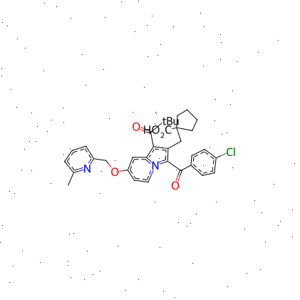 Cc1cccc(COc2ccn3c(C(=O)c4ccc(Cl)cc4)c(CC4(C(=O)O)CCCC4)c(C(=O)C(C)(C)C)c3c2)n1